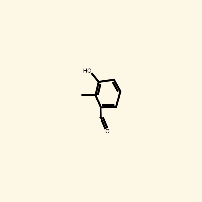 Cc1c(O)cccc1[C]=O